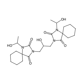 CC(O)N1C(=O)N(CC(O)CN2C(=O)N(C(C)O)C3(CCCCC3)C2=O)C(=O)C12CCCCC2